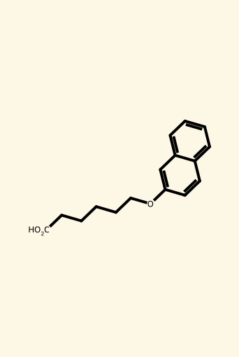 O=C(O)CCCCCOc1ccc2ccccc2c1